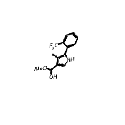 COC(O)c1c[nH]c(-c2ccccc2C(F)(F)F)c1C